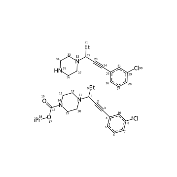 CCC(C#Cc1cccc(Cl)c1)N1CCN(C(=O)OC(C)C)CC1.CCC(C#Cc1cccc(Cl)c1)N1CCNCC1